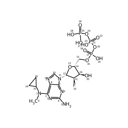 CN(c1nc(N)nc2c1ncn2[C@@H]1O[C@H](COP(=O)(O)OP(=O)(O)OP(=O)(O)O)[C@@H](O)[C@H]1F)C1CC1